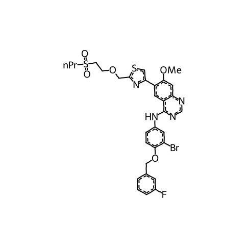 CCCS(=O)(=O)CCOCc1nc(-c2cc3c(Nc4ccc(OCc5cccc(F)c5)c(Br)c4)ncnc3cc2OC)cs1